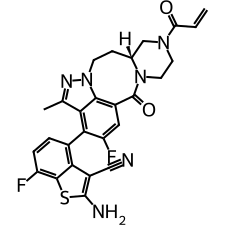 C=CC(=O)N1CCN2C(=O)c3cc(F)c(-c4ccc(F)c5sc(N)c(C#N)c45)c4c(C)nn(c34)CC[C@@H]2C1